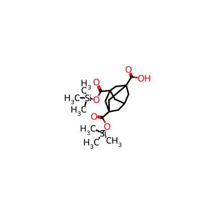 C[Si](C)(C)OC(=O)C12CC3CC(C(=O)O)(C1)CC(C(=O)O[Si](C)(C)C)(C3)C2